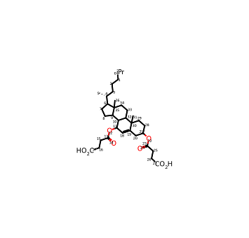 CC(C)CCC[C@@H](C)C1CCC2C3C(OC(=O)CCC(=O)O)C=C4CC(OC(=O)CCC(=O)O)CCC4(C)C3CCC21C